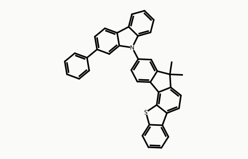 CC1(C)c2cc(-n3c4ccccc4c4ccc(-c5ccccc5)cc43)ccc2-c2c1ccc1c2sc2ccccc21